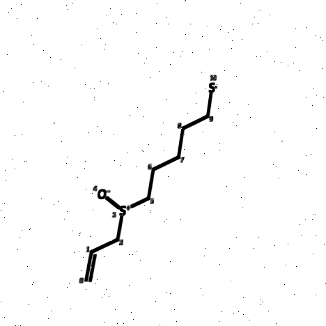 C=CC[S+]([O-])CCCCC[S]